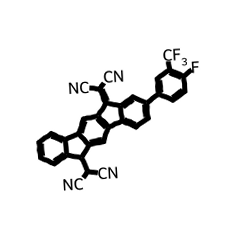 N#CC(C#N)=C1c2cc(-c3ccc(F)c(C(F)(F)F)c3)ccc2-c2cc3c(cc21)-c1ccccc1C3C(C#N)C#N